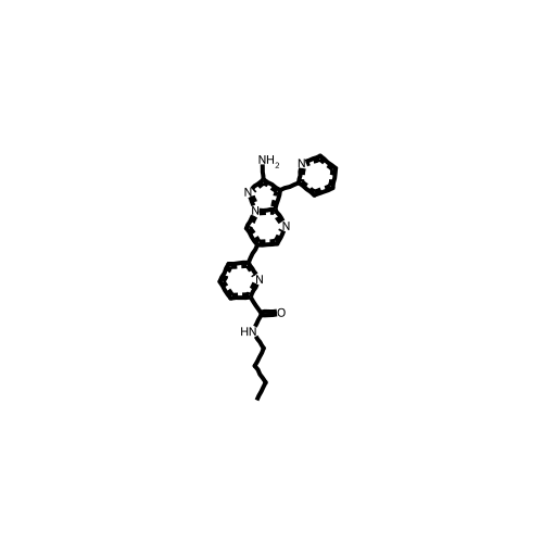 CCCCNC(=O)c1cccc(-c2cnc3c(-c4ccccn4)c(N)nn3c2)n1